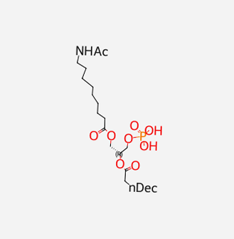 CCCCCCCCCCCC(=O)O[C@H](COC(=O)CCCCCCCCNC(C)=O)COP(=O)(O)O